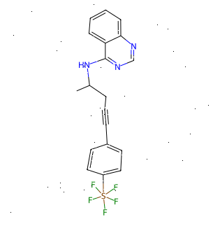 CC(CC#Cc1ccc(S(F)(F)(F)(F)F)cc1)Nc1ncnc2ccccc12